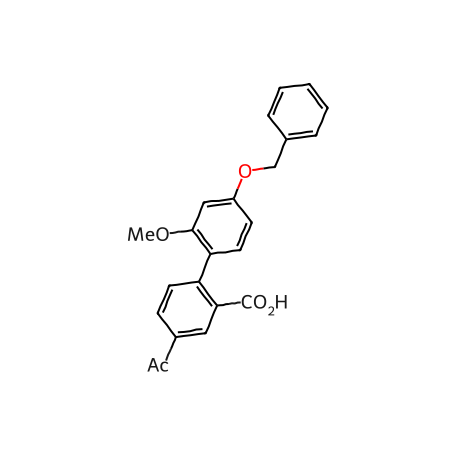 COc1cc(OCc2ccccc2)ccc1-c1ccc(C(C)=O)cc1C(=O)O